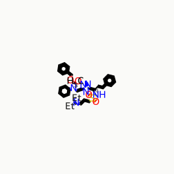 CCN(CC)CCCS(=O)(=O)N[C@H](CCc1ccccc1)c1nc(CN(C(=O)OCc2ccccc2)C2CCCCC2)n(C)n1